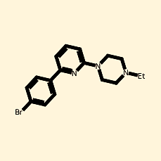 CCN1CCN(c2cccc(-c3ccc(Br)cc3)n2)CC1